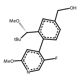 COc1cc(-c2ccc(CO)cc2[C@@H](OC)C(C)(C)C)c(F)cn1